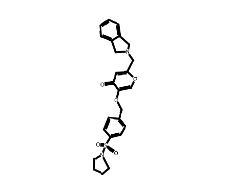 O=c1cc(CN2Cc3ccccc3C2)occ1OCc1ccc(S(=O)(=O)N2CCCC2)cc1